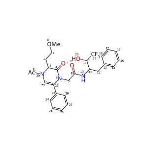 COCCC1C(=O)N(CC(=O)NC(Cc2ccccc2)C(O)C(F)(F)F)C(c2ccccc2)=CN1C(C)=O